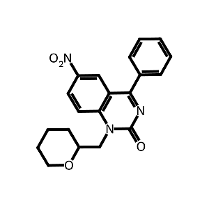 O=c1nc(-c2ccccc2)c2cc([N+](=O)[O-])ccc2n1CC1CCCCO1